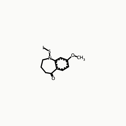 COc1ccc2c(c1)N(SI)CCCC2=O